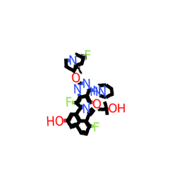 C#Cc1c(F)ccc2cc(O)cc(-c3nc(OCC(C)(C)O)c4c(N5CC6CCC(C5)N6)nc(OC[C@@]56CCCN5C[C@H](F)C6)nc4c3F)c12